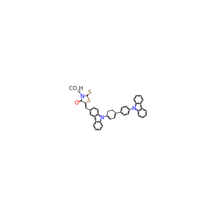 O=C(O)CN1C(=O)/C(=C/c2ccc3c(c2)c2ccccc2n3C2=CC=C(c3ccc(-n4c5ccccc5c5ccccc54)cc3)CC2)SC1=S